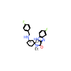 CCN(C(=O)c1nc2cc(F)ccc2[nH]1)C1(C)CCC[C@@H](NCc2ccc(F)cc2)C1